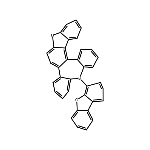 c1ccc2c(c1)B(c1cccc3c1oc1ccccc13)c1ccccc1-c1c-2ccc2oc3ccccc3c12